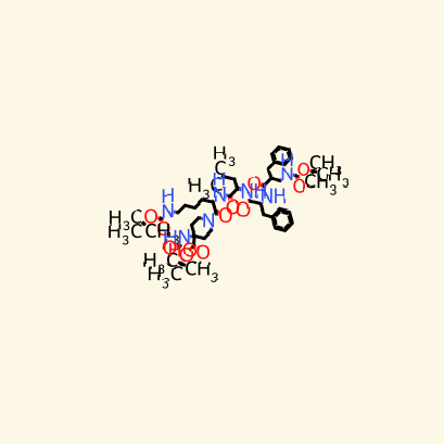 CC(C)CC(NC(=O)C(Cc1ccccc1)NC(=O)C(CNC(=O)OC(C)(C)C)Cc1ccccc1)C(=O)NC(CCCCNC(=O)OC(C)(C)C)C(=O)N1CCC(NC(=O)OC(C)(C)C)(C(=O)O)CC1